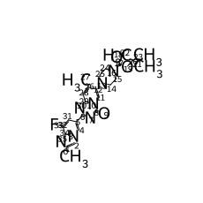 Cc1cn2cc(-c3nc(=O)n4cc(N5CCN(C(=O)OC(C)(C)C)CC5)c(C)cc4n3)cc(F)c2n1